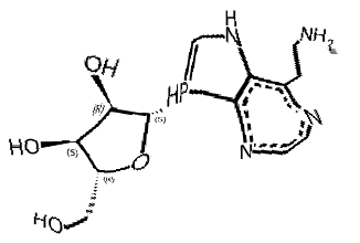 Nc1ncnc2c1NC=[PH]2[C@@H]1O[C@H](CO)[C@@H](O)[C@H]1O